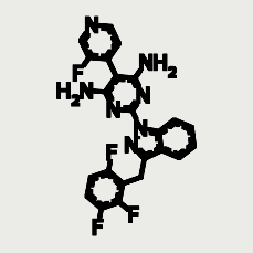 Nc1nc(-n2nc(Cc3c(F)ccc(F)c3F)c3ccccc32)nc(N)c1-c1ccncc1F